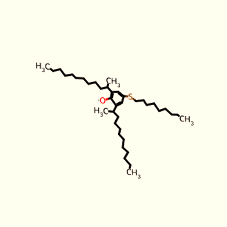 CCCCCCCCCCC(C)c1cc(SCCCCCCCCC)cc(C(C)CCCCCCCCCC)c1[O]